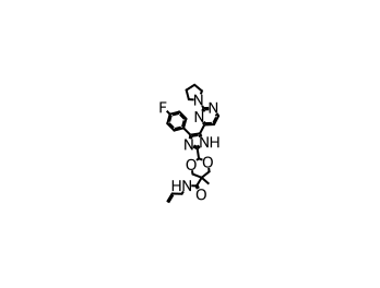 C=CCNC(=O)C1(C)COC(c2nc(-c3ccc(F)cc3)c(-c3ccnc(N4CCCC4)n3)[nH]2)OC1